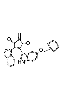 O=C1NC(=O)C(n2ccc3ccccc32)=C1c1c[nH]c2ccc(OCc3ccccc3)cc12